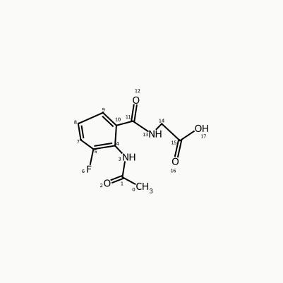 CC(=O)Nc1c(F)cccc1C(=O)NCC(=O)O